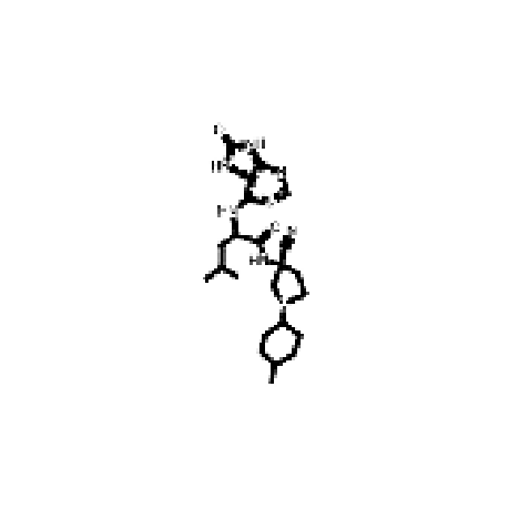 CC(C)CC(Nc1ncnc2[nH]c(=O)[nH]c12)C(=O)NC1(C#N)CCN(C2CCC(C)CC2)C1